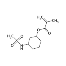 C=C(C)C(=O)OC1CCCC(NS(C)(=O)=O)C1